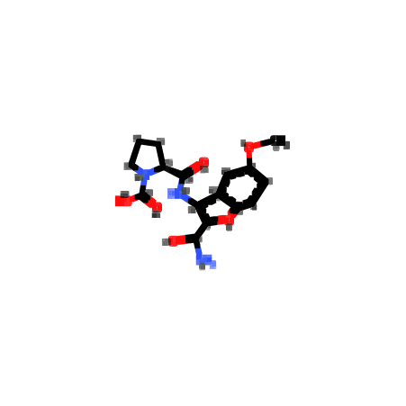 COc1ccc2oc(C(N)=O)c(NC(=O)[C@@H]3CCCN3C(=O)O)c2c1